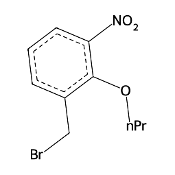 CCCOc1c(CBr)cccc1[N+](=O)[O-]